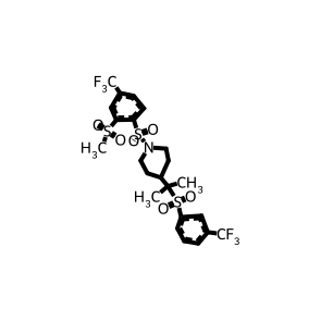 CC(C)(C1CCN(S(=O)(=O)c2ccc(C(F)(F)F)cc2S(C)(=O)=O)CC1)S(=O)(=O)c1cccc(C(F)(F)F)c1